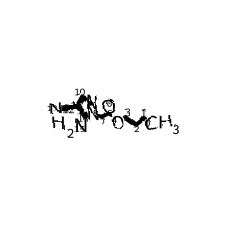 CCCCOC(=O)Cn1ncc(C#N)c1N